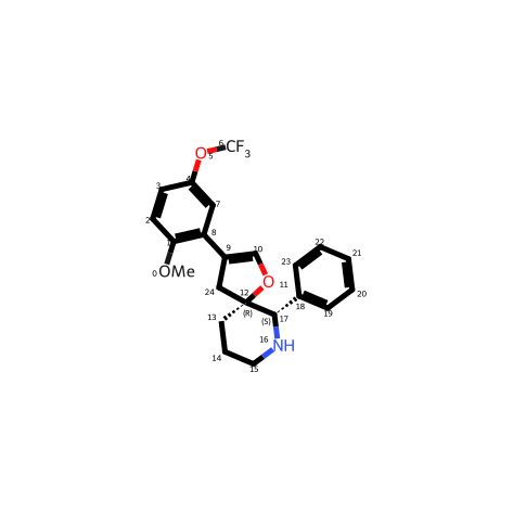 COc1ccc(OC(F)(F)F)cc1C1=CO[C@]2(CCCN[C@H]2c2ccccc2)C1